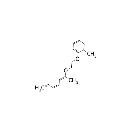 C=C/C=C\C=C(/C)OCCOC1=CC=CCC1C